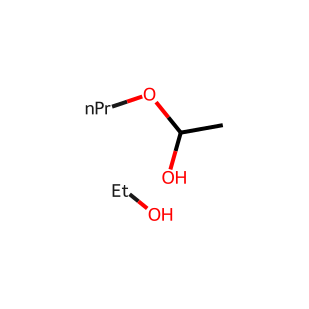 CCCOC(C)O.CCO